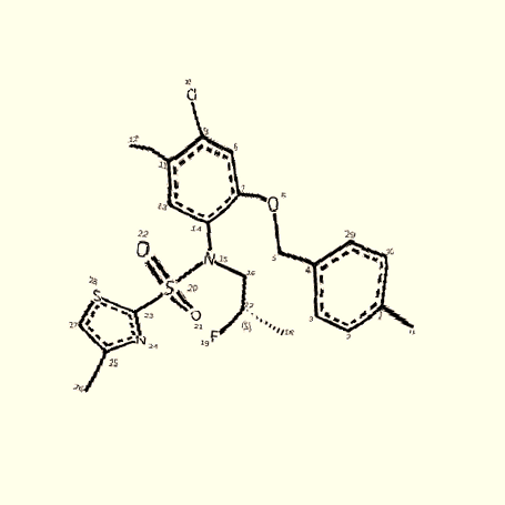 Cc1ccc(COc2cc(Cl)c(C)cc2N(C[C@H](C)F)S(=O)(=O)c2nc(C)cs2)cc1